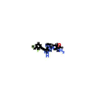 C[C@@H]1OCC2(CCN(c3nc4[nH]nc(C#Cc5cccc(CF)c5F)c4c4nccn34)CC2)[C@@H]1N